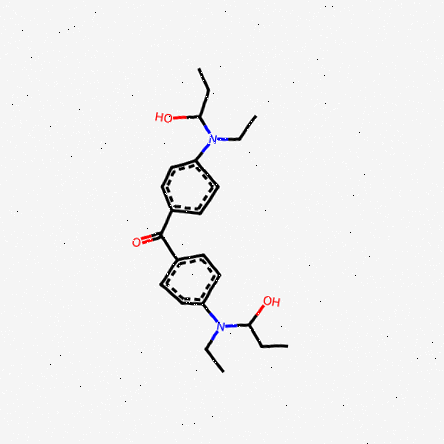 CCC(O)N(CC)c1ccc(C(=O)c2ccc(N(CC)C(O)CC)cc2)cc1